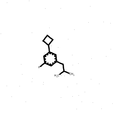 CC(C)Cc1cc(F)cc(C2CCC2)c1